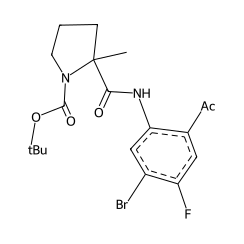 CC(=O)c1cc(F)c(Br)cc1NC(=O)C1(C)CCCN1C(=O)OC(C)(C)C